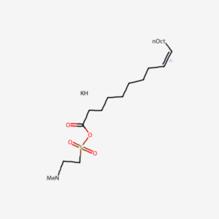 CCCCCCCC/C=C\CCCCCCCC(=O)OS(=O)(=O)CCNC.[KH]